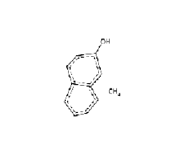 C.Oc1ccc2ccccc2c1